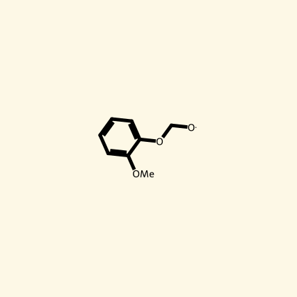 COc1ccccc1OC[O]